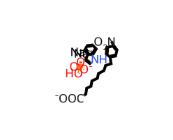 O=C([O-])CCCCCCCCCc1ccc([N+](=O)[O-])cc1.O=P([O-])(O)Oc1c[nH]c2ccccc12.[Na+].[Na+]